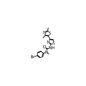 Cc1nc(C)c(-c2csc(NC(=O)N(C)c3ccc(Br)cc3)n2)s1